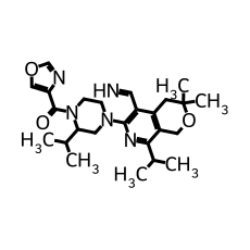 CC(C)c1nc(N2CCN(C(=O)c3cocn3)C(C(C)C)C2)c(C=N)c2c1COC(C)(C)C2